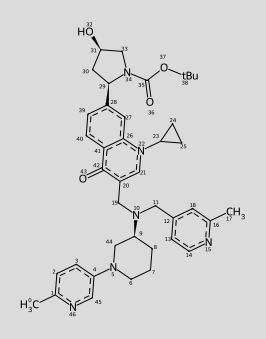 Cc1ccc(N2CCC[C@H](N(Cc3ccnc(C)c3)Cc3cn(C4CC4)c4cc([C@H]5C[C@@H](O)CN5C(=O)OC(C)(C)C)ccc4c3=O)C2)cn1